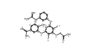 N=C(N)Nc1cccc(Oc2nc(Oc3cc(C(=N)N)ccc3O)c(F)c(OCC(=O)O)c2F)c1